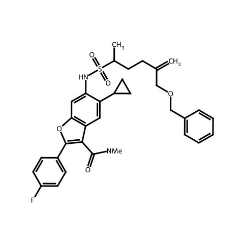 C=C(CCC(C)S(=O)(=O)Nc1cc2oc(-c3ccc(F)cc3)c(C(=O)NC)c2cc1C1CC1)COCc1ccccc1